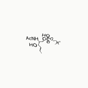 C/C=C/[C@H](O)[C@H](COP(=O)(O)OCC[N+](C)(C)C)NC(C)=O